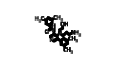 Cc1cc(C)cc(C(=O)Nc2cncc(-c3cc(C)cc(C)c3)c2N(CCO)CCCN)c1